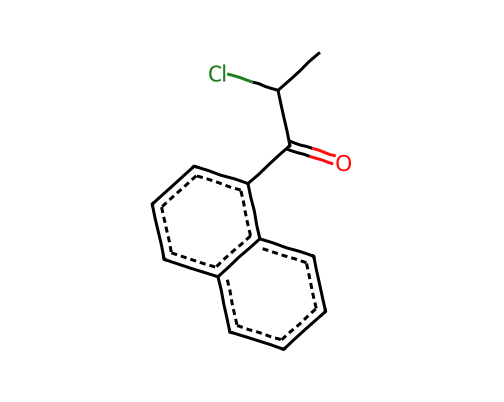 CC(Cl)C(=O)c1cccc2ccccc12